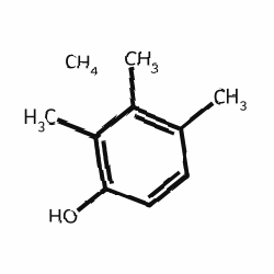 C.Cc1ccc(O)c(C)c1C